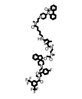 Cc1cc(NCCCCCC(=O)N(C)CCN2CCC(N(C(=O)O)c3ccccc3-c3ccccc3)CC2)sc1C(=O)N(C)CCN(C)C(=O)CO[C@H]1Cc2ccccc2C12CCN(CC[C@@]1(c3ccc(F)cc3)CN(C(=O)c3cc(C(F)(F)F)cc(C(F)(F)F)c3)CO1)CC2